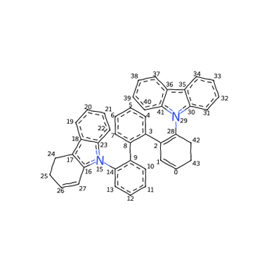 C1=CC(c2ccccc2-c2ccccc2-n2c3c(c4ccccc42)CCC=C3)=C(n2c3ccccc3c3ccccc32)CC1